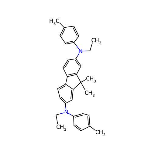 CCN(c1ccc(C)cc1)c1ccc2c(c1)C(C)(C)c1cc(N(CC)c3ccc(C)cc3)ccc1-2